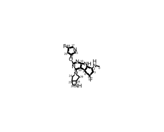 CNc1cc(F)cc2c1[nH]c1nc(Oc3cncc(F)c3)nc(N3CC4CNC4C3)c12